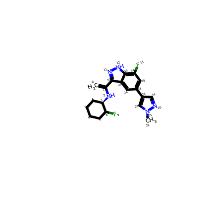 C=C(N[C@@H]1CCCCC1F)c1n[nH]c2c(F)cc(-c3cnn(C)c3)cc12